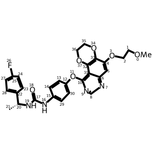 COCCOc1cc2ncnc(Oc3ccc(NC(=O)N[C@H](C)c4ccc(F)cc4)cc3)c2c2c1OCCO2